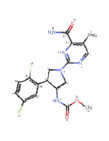 COc1cnc(N2CC(NC(=O)OC(C)(C)C)C(c3cc(F)ccc3F)C2)nc1C(N)=O